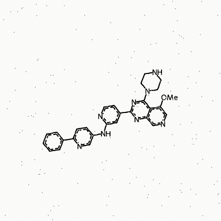 COc1cncc2nc(-c3ccnc(Nc4ccc(-c5ccccc5)nc4)c3)nc(N3CCNCC3)c12